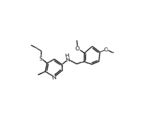 CCSc1cc(NCc2ccc(OC)cc2OC)cnc1C